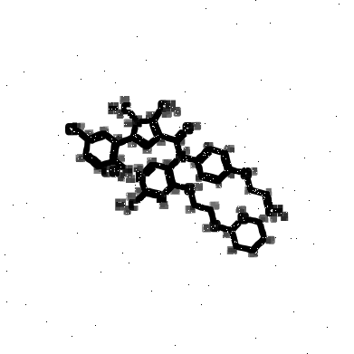 C=CCOc1ccc(N(C(=O)c2cc(-c3cc(Cl)ccc3C(=O)O)n(C)c2C)c2cnc(C)nc2OCCOC2CCCCO2)cc1